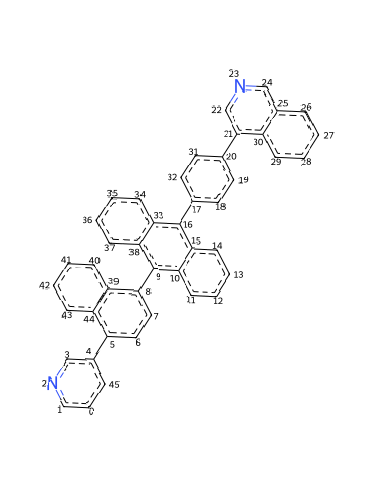 c1cncc(-c2ccc(-c3c4ccccc4c(-c4ccc(-c5cncc6ccccc56)cc4)c4ccccc34)c3ccccc23)c1